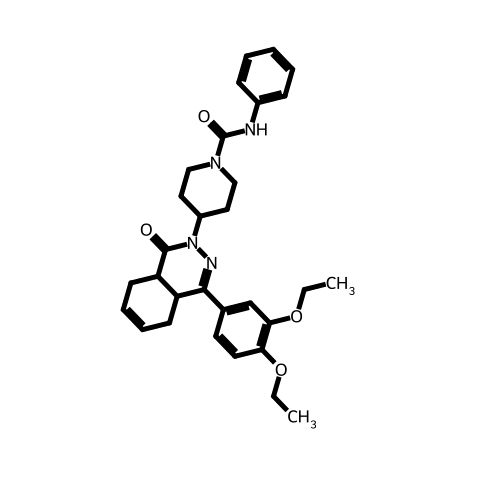 CCOc1ccc(C2=NN(C3CCN(C(=O)Nc4ccccc4)CC3)C(=O)C3CC=CCC23)cc1OCC